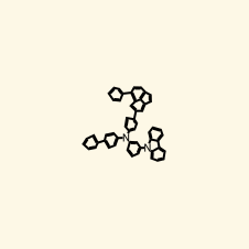 C1=Cc2cc(-c3ccc(N(c4ccc(-c5ccccc5)cc4)c4cccc(-n5c6ccccc6c6ccccc65)c4)cc3)cc3c(-c4ccccc4)ccc1c23